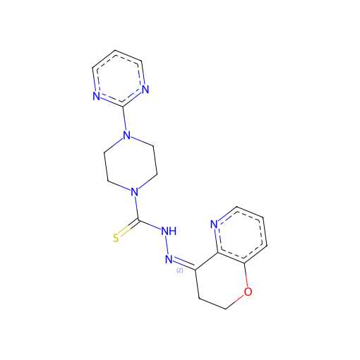 S=C(N/N=C1/CCOc2cccnc21)N1CCN(c2ncccn2)CC1